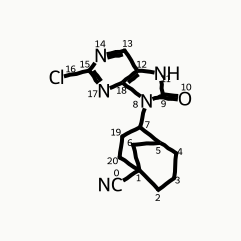 N#CC12CCCC(C1)C(n1c(=O)[nH]c3cnc(Cl)nc31)CC2